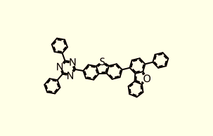 c1ccc(-c2nc(-c3ccccc3)nc(-c3ccc4c(c3)sc3cc(-c5ccc(-c6ccccc6)c6oc7ccccc7c56)ccc34)n2)cc1